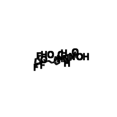 O=C(O)C1=C(c2ccc(CCCOc3c(F)ccc(F)c3F)cc2)C[C@@H]2CN(C(=O)CO)C[C@H]1N2